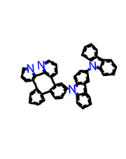 c1ccc2c(c1)-c1ccc(-n3c4ccccc4c4cc(-n5c6ccccc6c6ccccc65)ccc43)cc1-c1cccnc1-c1ncccc1-2